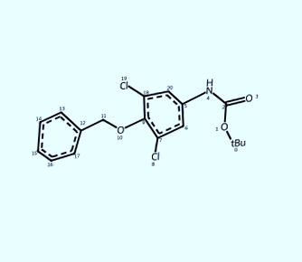 CC(C)(C)OC(=O)Nc1cc(Cl)c(OCc2ccccc2)c(Cl)c1